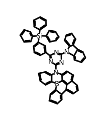 c1ccc([Si](c2ccccc2)(c2ccccc2)c2cccc(-c3nc(N4c5ccccc5B5c6ccccc6-c6cccc7ccc4c5c67)nc(-n4c5ccccc5c5ccccc54)n3)c2)cc1